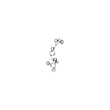 CS(=O)(=O)CCCOc1ccc(Cc2onc3c2C(=O)CC2(CCC2)C3)cc1